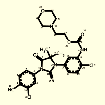 CC1(C)C(=O)N(c2ccc(C#N)c(Cl)c2)C(=S)N1c1ccc(Cl)c(NC(=O)OCCN2CCOCC2)c1